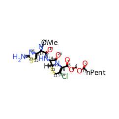 CCCCCC(=O)OCOC(=O)C1=C(Cl)CS[C@@H]2C(NC(=O)/C(=N\OC)c3csc(N)n3)C(=O)N12